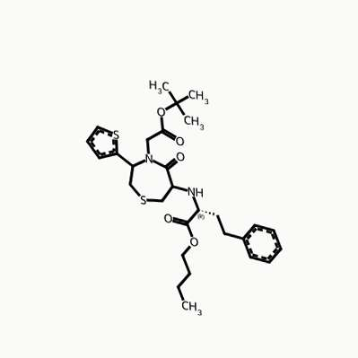 CCCCOC(=O)[C@@H](CCc1ccccc1)NC1CSCC(c2cccs2)N(CC(=O)OC(C)(C)C)C1=O